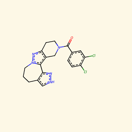 O=C(c1ccc(Cl)c(Cl)c1)N1CCc2nn3c(c2C1)-c1n[nH]cc1CCC3